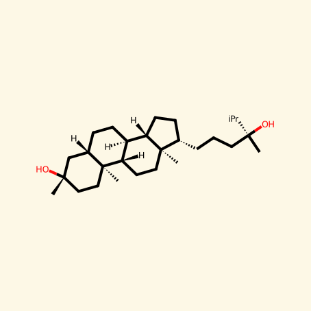 CC(C)[C@@](C)(O)CCC[C@H]1CC[C@H]2[C@@H]3CC[C@H]4C[C@@](C)(O)CC[C@]4(C)[C@H]3CC[C@]12C